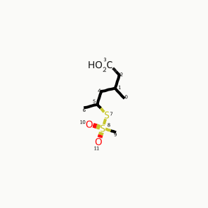 CC(CC(=O)O)CC(C)SS(C)(=O)=O